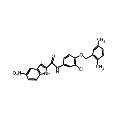 Cc1ccc(C)c(COc2ccc(NC(=O)c3cc4cc([N+](=O)[O-])ccc4[nH]3)cc2Cl)c1